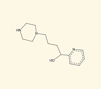 OC(CCCN1CCNCC1)c1ccccn1